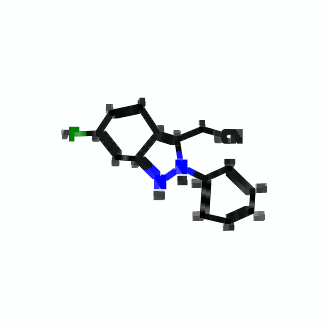 N#CCc1c2ccc(F)cc2nn1-c1ccccc1